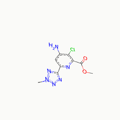 COC(=O)c1nc(-c2nnn(C)n2)cc(N)c1Cl